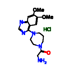 COc1cc2ncnc(N3CCCN(C(=O)CN)CC3)c2cc1OC.Cl